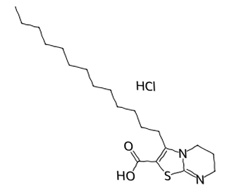 CCCCCCCCCCCCCC1=C(C(=O)O)SC2=NCCCN21.Cl